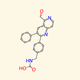 O=Cc1nccc2nc(-c3ccc(CNC(=O)O)cc3)c(-c3ccccc3)cc12